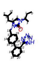 CCC(C)n1cc(CC(C)C)n(Cc2ccc(-c3ccccc3-c3nnn[nH]3)cc2)c1=O